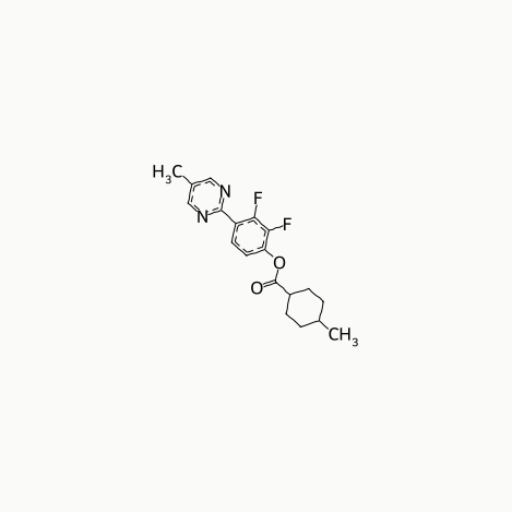 Cc1cnc(-c2ccc(OC(=O)C3CCC(C)CC3)c(F)c2F)nc1